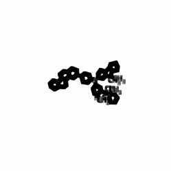 Cc1ccc(N(c2ccc(-c3ccc4ccc5c6ccccc6ccc5c4c3)cc2)c2ccc3c(c2)C(C)(C)c2ccccc2-3)cc1C(C)(C)C1(C)C=CC=CC1